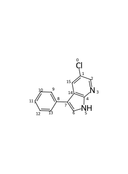 Clc1cnc2[nH]cc(-c3cc[c]cc3)c2c1